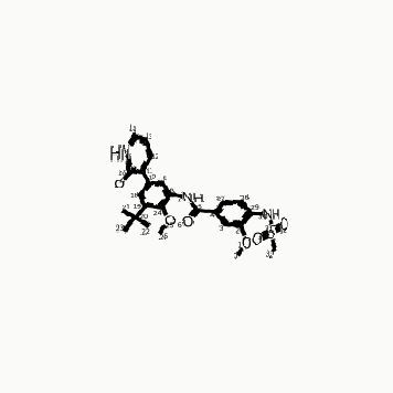 COc1cc(C(=O)Nc2cc(-c3ccc[nH]c3=O)cc(C(C)(C)C)c2OC)ccc1NS(C)(=O)=O